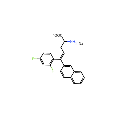 NC(CC=C(c1ccc2ccccc2c1)c1ccc(F)cc1F)C(=O)[O-].[Na+]